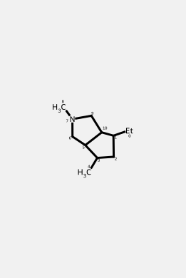 CCC1CC(C)C2CN(C)CC12